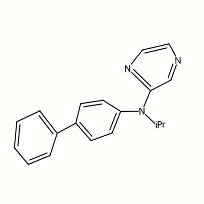 CC(C)N(c1ccc(-c2ccccc2)cc1)c1cnccn1